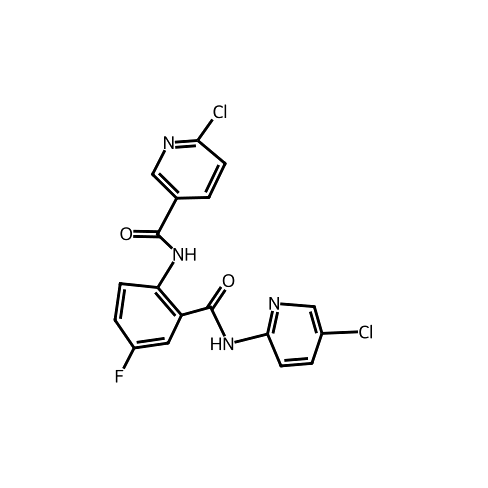 O=C(Nc1ccc(F)cc1C(=O)Nc1ccc(Cl)cn1)c1ccc(Cl)nc1